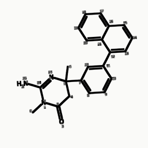 CN1C(=O)CC(C)(c2cccc(-c3cccc4ccccc34)c2)N=C1N